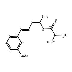 COc1cccc(C=CCC(C)CC(=O)N(C)C)c1